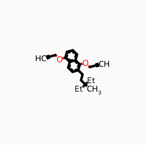 C#CCOc1cccc2c(OCC#C)c(CCC(C)(CC)CC)ccc12